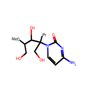 COC(CO)C(O)C(CO)(C(C)C)n1ccc(N)nc1=O